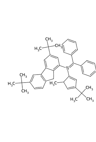 CC1C=C(C(C)(C)C)C=[C]1[Ti](=[C](c1ccccc1)c1ccccc1)[c]1cc(C(C)(C)C)cc2c1Cc1ccc(C(C)(C)C)cc1-2